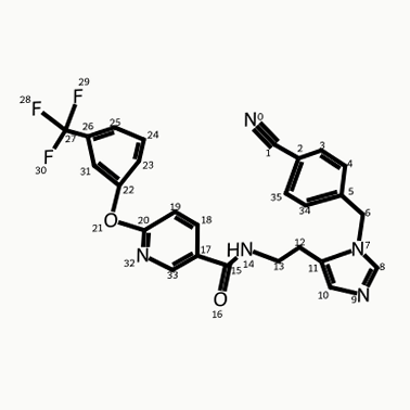 N#Cc1ccc(Cn2cncc2CCNC(=O)c2ccc(Oc3cccc(C(F)(F)F)c3)nc2)cc1